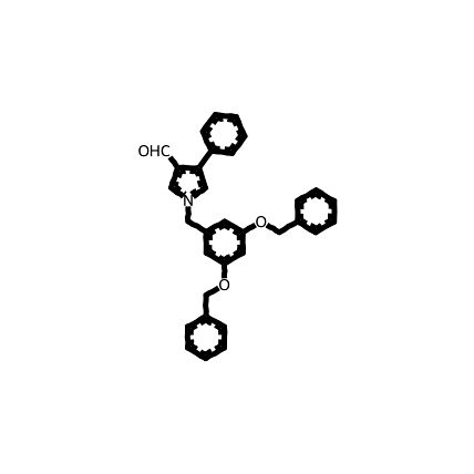 O=Cc1cn(Cc2cc(OCc3ccccc3)cc(OCc3ccccc3)c2)cc1-c1ccccc1